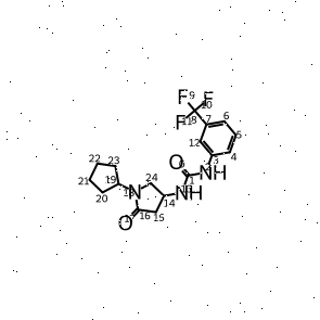 O=C(Nc1cccc(C(F)(F)F)c1)NC1CC(=O)N(C2CCCC2)C1